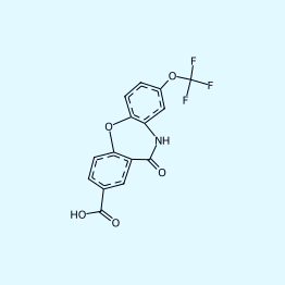 O=C(O)c1ccc2c(c1)C(=O)Nc1cc(OC(F)(F)F)ccc1O2